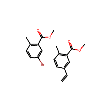 C=Cc1ccc(C)c(C(=O)OC)c1.COC(=O)c1cc(Br)ccc1C